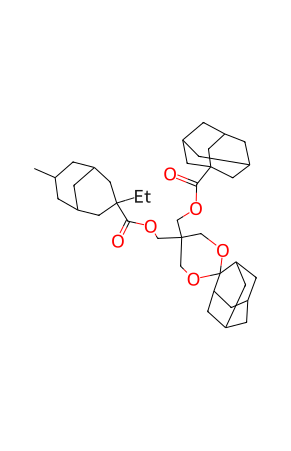 CCC1(C(=O)OCC2(COC(=O)C34CC5CC(CC(C5)C3)C4)COC3(OC2)C2CC4CC(C2)CC3C4)CC2CC(C)CC(C2)C1